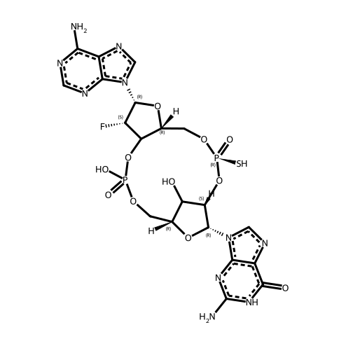 Nc1nc2c(ncn2[C@@H]2O[C@@H]3COP(=O)(O)OC4[C@@H](CO[P@@](=O)(S)O[C@H]2C3O)O[C@@H](n2cnc3c(N)ncnc32)[C@H]4F)c(=O)[nH]1